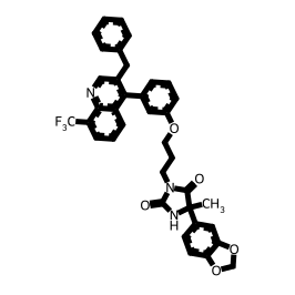 CC1(c2ccc3c(c2)OCO3)NC(=O)N(CCCOc2cccc(-c3c(Cc4ccccc4)cnc4c(C(F)(F)F)cccc34)c2)C1=O